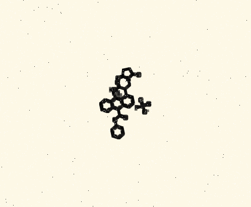 C[n+]1c2ccccc2c(C(=O)Oc2ccccc2)c2cccc(C(CN3C(=O)CCC3=O)C(=O)O)c21.O=S(=O)([O-])F